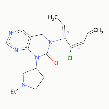 C=C/C=C(Cl)\C(=C\C)N1Cc2cncnc2N(C2CCN(CC)C2)C1=O